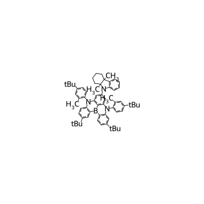 Cc1cc(C(C)(C)C)ccc1N1c2ccc(C(C)(C)C)cc2B2c3ccc(C(C)(C)C)cc3N(c3ccc(C(C)(C)C)cc3C)c3cc(N4c5ccccc5C5(C)CCCCC45C)cc1c32